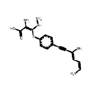 N/C=C\C=C(/N)C#Cc1ccc(O/C(NN)=C(/N)C(=O)O)cc1